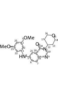 COc1cc(Nc2ccc3ncn(C4CCOCC4)c(=O)c3c2)cc(OC)c1